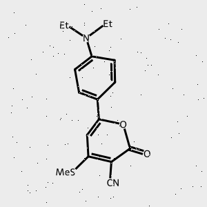 CCN(CC)c1ccc(-c2cc(SC)c(C#N)c(=O)o2)cc1